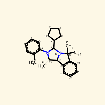 Cc1ccccc1N1C(C2CCCC2)N2C(c3ccccc3C2(C)C)[C@@H]1C